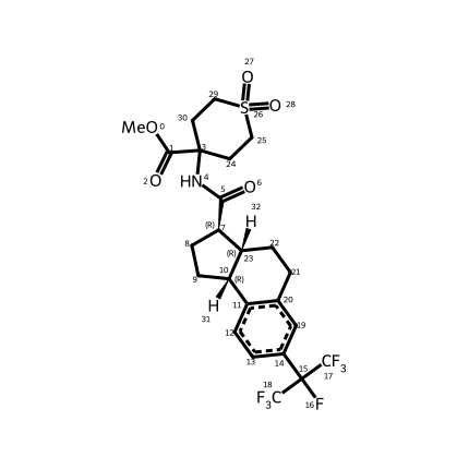 COC(=O)C1(NC(=O)[C@@H]2CC[C@H]3c4ccc(C(F)(C(F)(F)F)C(F)(F)F)cc4CC[C@@H]23)CCS(=O)(=O)CC1